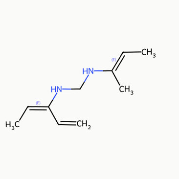 C=C/C(=C\C)NCN/C(C)=C/C